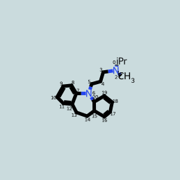 CC(C)N(C)CCCN1c2ccccc2CCC2C=CC=CC21